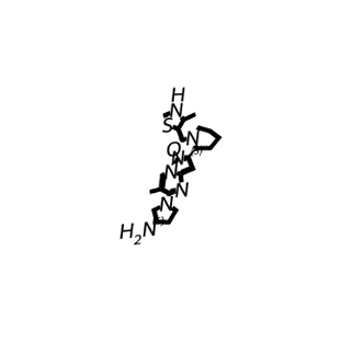 Cc1cn2nc([C@@H]3CCCCN3C(=O)C3SCNC3C)cc2nc1N1CC[C@H](N)C1